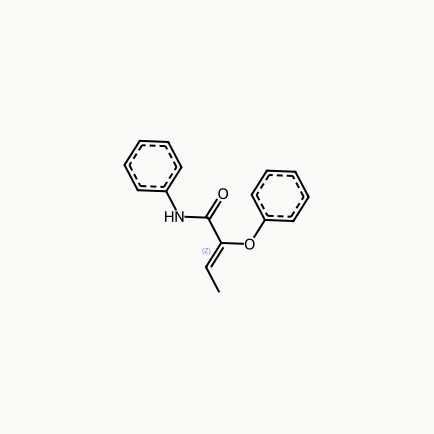 C/C=C(\Oc1ccccc1)C(=O)Nc1ccccc1